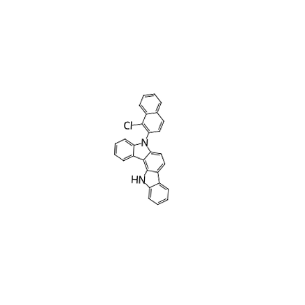 Clc1c(-n2c3ccccc3c3c4[nH]c5ccccc5c4ccc32)ccc2ccccc12